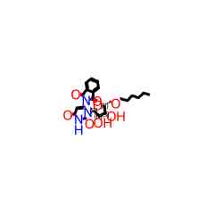 CCCCCCOC[C@H]1O[C@@H](n2c(N3C(=O)c4ccccc4C3=O)cc(=O)[nH]c2=O)[C@H](O)[C@@H]1O